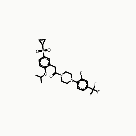 CC(C)Oc1ccc(S(=O)(=O)C2CC2)cc1CC(=O)N1CCN(c2ccc(C(F)(F)F)cc2F)CC1